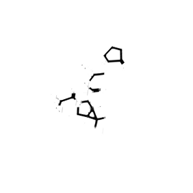 CC(C)(C)[C@H](N)C(=O)N1C[C@H]2[C@@H]([C@H]1C(=O)N[C@H](C#N)C[C@@H]1CCCC1=O)C2(C)C